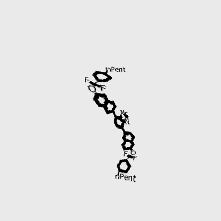 CCCCC[C@H]1CC[C@H](C(F)(F)Oc2ccc3cc(-c4ccc(-c5ccc6cc(OC(F)(F)[C@H]7CC[C@H](CCCCC)CC7)ccc6c5)c5nsnc45)ccc3c2)CC1